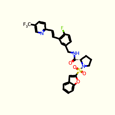 O=C(NCc1ccc(F)c(/C=C/c2ccc(C(F)(F)F)cn2)c1)[C@@H]1CCCN1S(=O)(=O)c1cc2ccccc2o1